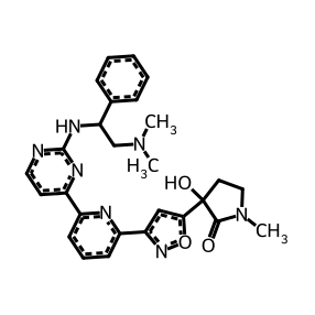 CN(C)CC(Nc1nccc(-c2cccc(-c3cc(C4(O)CCN(C)C4=O)on3)n2)n1)c1ccccc1